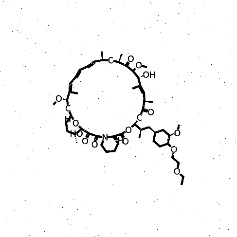 CCOCCOC1CC[C@@H](C[C@@H](C)[C@@H]2CC(=O)[C@H](C)/C=C(\C)[C@@H](O)C(OC)C(=O)[C@H](C)C[C@H](C)/C=C/C=C/C=C(\C)[C@@H](OC)C[C@@H]3CC[C@@H](C)[C@@](O)(O3)C(=O)C(=O)N3CCCC[C@H]3C(=O)O2)C[C@H]1OC